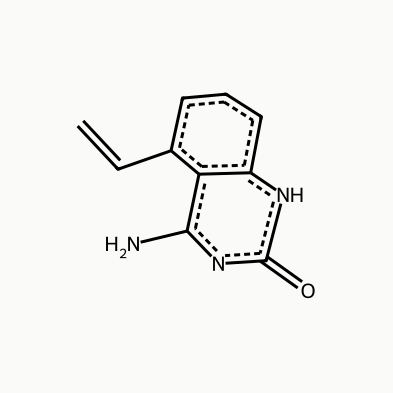 C=Cc1cccc2[nH]c(=O)nc(N)c12